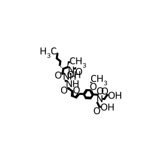 CCCCC[C@@H](C(=O)NCNC(=O)c1ccc(-c2ccc(C(=O)N(CC(=O)O)CC(=O)O)c(OCC)c2)o1)[C@@H](CC)N(O)C=O